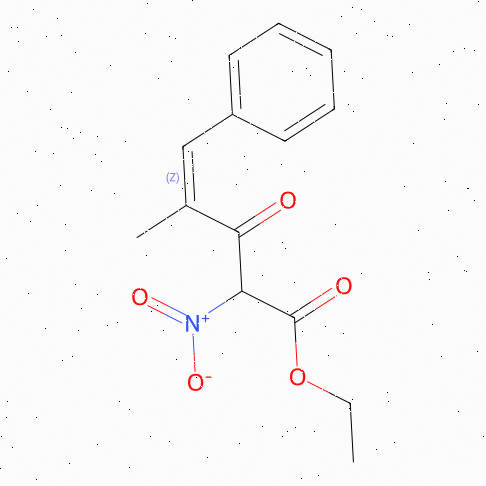 CCOC(=O)C(C(=O)/C(C)=C\c1ccccc1)[N+](=O)[O-]